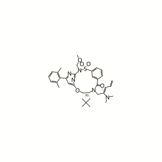 C=C/C=C(/CN1C(=O)c2cccc(c2)S(=O)(=O)N(COC)c2nc(cc(-c3c(C)cccc3C)n2)OC[C@H]1CC(C)(C)C)N(C)C